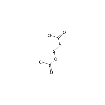 O=C(Cl)OSOC(=O)Cl